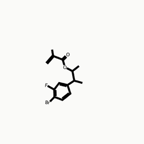 C=C(C)C(=O)OC(C)C(C)c1ccc(Br)c(F)c1